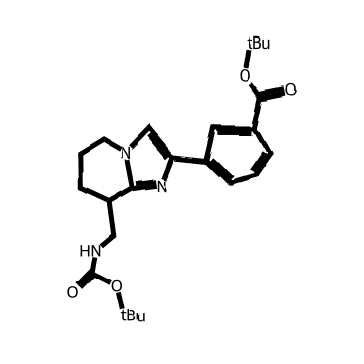 CC(C)(C)OC(=O)NCC1CCCn2cc(-c3cccc(C(=O)OC(C)(C)C)c3)nc21